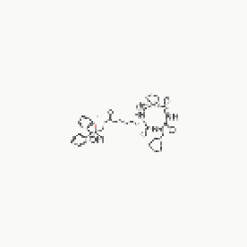 C[C@@H](CC(C)(C)[Si](O)(c1ccccc1)c1ccccc1)C(=O)CCCCC[C@@H]1NC(=O)[C@H]2CCCN2C(=O)CNC(=O)[C@@H](CC2CCCCC2)NC1=O